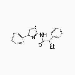 CCC(C(=O)NC1=NC(c2ccccc2)CS1)c1ccccc1